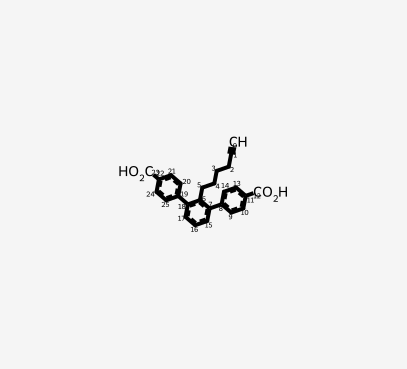 C#CCCCCc1c(-c2ccc(C(=O)O)cc2)cccc1-c1ccc(C(=O)O)cc1